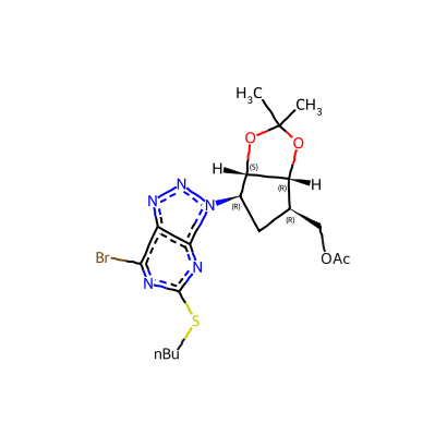 CCCCSc1nc(Br)c2nnn([C@@H]3C[C@H](COC(C)=O)[C@H]4OC(C)(C)O[C@H]43)c2n1